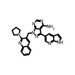 Nc1ncnc2c1c(-c1cnc3[nH]ccc3c1)nn2Cc1cc2ccccc2nc1N1CCCC1